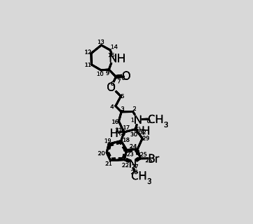 CN1CC(CCOC(=O)C2CCCCCN2)C[C@H]2c3cccc4c3c(c(Br)n4C)C[C@@H]21